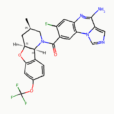 C[C@@H]1C[C@@H]2Oc3cc(OC(F)(F)F)ccc3[C@@H]2N(C(=O)c2cc3c(cc2F)nc(N)c2cncn23)C1